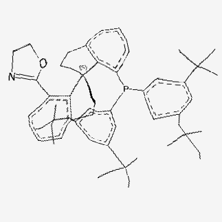 CC(C)(C)c1cc(P(c2cc(C(C)(C)C)cc(C(C)(C)C)c2)c2cccc3c2[C@@]2(CCc4cccc(C5=NCCO5)c42)CC3)cc(C(C)(C)C)c1